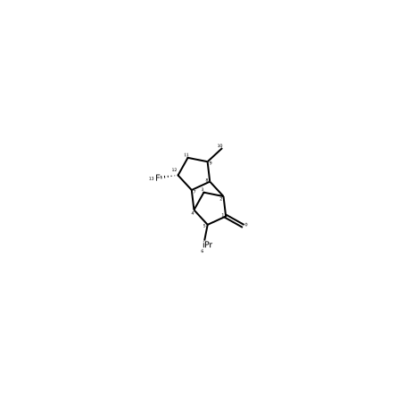 C=C1C2CC(C1C(C)C)C1C2C(C)C[C@H]1F